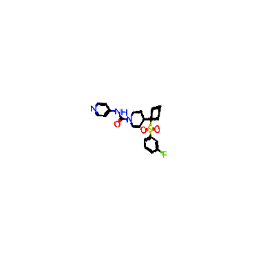 O=C(Nc1ccncc1)N1CCC(C2(S(=O)(=O)c3cccc(F)c3)CCC2)CC1